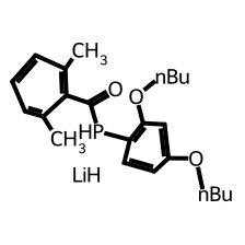 CCCCOc1ccc(PC(=O)c2c(C)cccc2C)c(OCCCC)c1.[LiH]